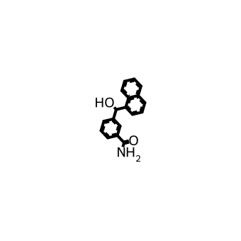 NC(=O)c1cccc(C(O)c2cccc3ccccc23)c1